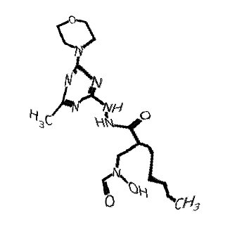 CCCCCC(CN(O)C=O)C(=O)NNc1nc(C)nc(N2CCOCC2)n1